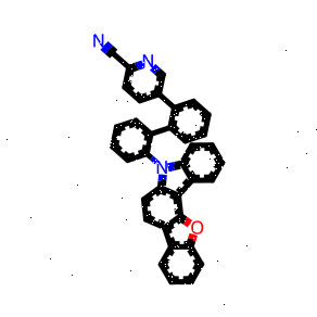 N#Cc1ccc(-c2ccccc2-c2ccccc2-n2c3ccccc3c3c4oc5ccccc5c4ccc32)cn1